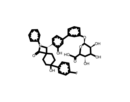 O=C(O)C1O[C@@H](Oc2cccc(-c3ccc([C@H]4N(c5ccccc5)C(=O)C45CCC(O)(c4ccc(F)cc4)CC5)c(O)c3)c2)[C@@H](O)C(O)[C@@H]1O